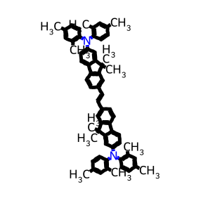 Cc1ccc(N(c2ccc3c(c2)C(C)(C)c2cc(/C=C/c4ccc5c(c4)C(C)(C)c4cc(N(c6ccc(C)cc6C)c6ccc(C)cc6C)ccc4-5)ccc2-3)c2ccc(C)cc2C)c(C)c1